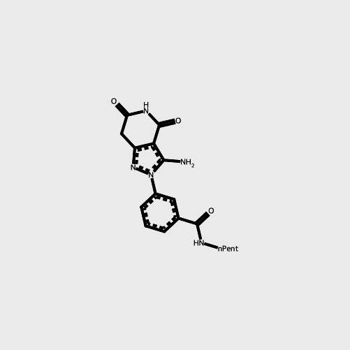 CCCCCNC(=O)c1cccc(-n2nc3c(c2N)C(=O)NC(=O)C3)c1